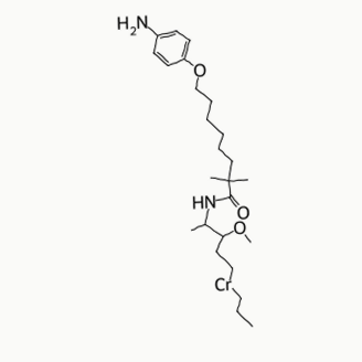 CC[CH2][Cr][CH2]CC(OC)C(C)NC(=O)C(C)(C)CCCCCCOc1ccc(N)cc1